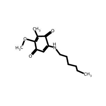 CCCCCCNC1=CC(=O)C(OC)=C(C)C1=O